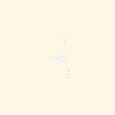 C=CC(=O)OCCCCCCOc1ccc(OC(=O)C2CCC(C(=O)Oc3ccc(OC(=O)C4CCC(C(=O)Oc5ccc(OCCCCCCOC(=O)C=C)cc5)CC4)c(N/C(N)=C/Nc4ccc([N+](=O)[O-])cc4)c3)CC2)cc1